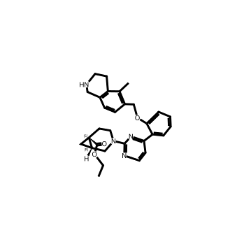 CCOC(=O)[C@@]12CCN(c3nccc(-c4ccccc4OCc4ccc5c(c4C)CCNC5)n3)C[C@@H]1C2